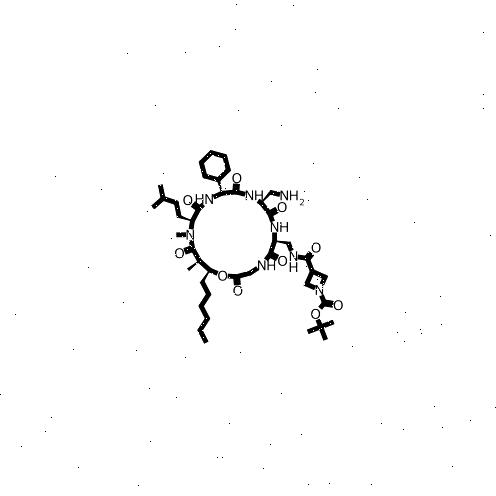 CCCCCC[C@@H]1OC(=O)CNC(=O)[C@H](CNC(=O)C2CN(C(=O)OC(C)(C)C)C2)NC(=O)[C@H](CN)NC(=O)[C@H](C2CCCCC2)NC(=O)[C@H](CCC(C)C)N(C)C(=O)[C@@H]1C